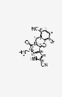 Cn1c(=O)n(Cc2cc(F)ccc2C#N)c(=O)c2cc(C#N)[nH]c21